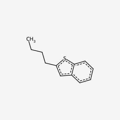 CCCCc1cc2ccccc2s1